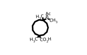 CC(=O)N(C)C1(C)CCCCCC(C)(C(=O)O)CCCC1